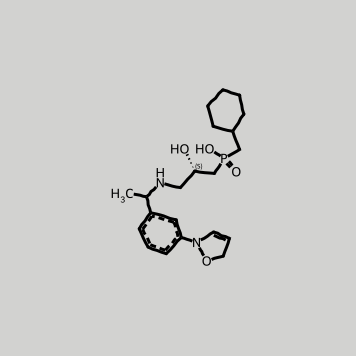 CC(NC[C@H](O)CP(=O)(O)CC1CCCCC1)c1cccc(N2C=CCO2)c1